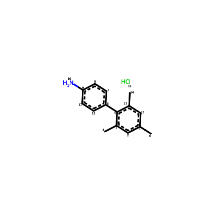 Cc1cc(C)c(-c2ccc(N)cc2)c(C)c1.Cl